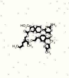 C=C/C(=C\C=C/C)COC(=O)N1CC2(CCN(c3cc(O[C@H](c4ccc(C=CC(=O)OCC)cc4-n4ccc(C)n4)C(F)(F)F)nc(N)n3)CC2)C[C@H]1C(=O)O